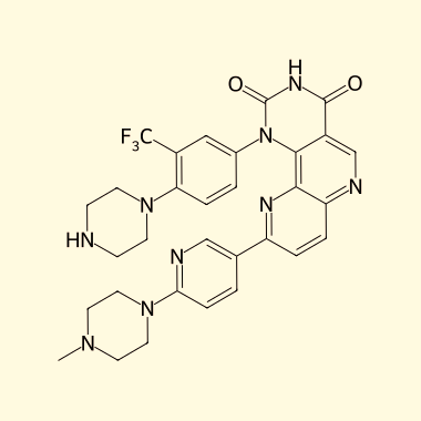 CN1CCN(c2ccc(-c3ccc4ncc5c(=O)[nH]c(=O)n(-c6ccc(N7CCNCC7)c(C(F)(F)F)c6)c5c4n3)cn2)CC1